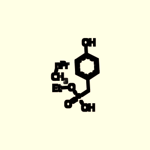 CCCC.CCOP(=O)(O)Cc1ccc(O)cc1